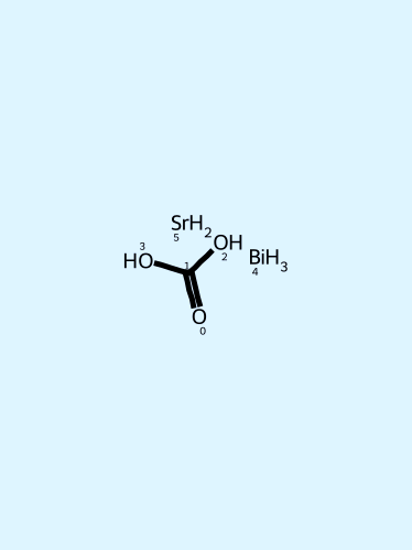 O=C(O)O.[BiH3].[SrH2]